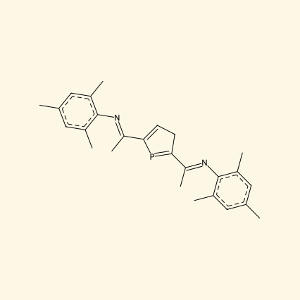 C/C(=N\c1c(C)cc(C)cc1C)C1=CCC(/C(C)=N/c2c(C)cc(C)cc2C)=P1